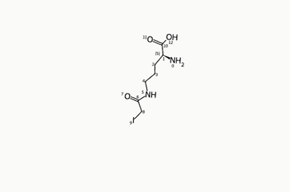 N[C@@H](CCCNC(=O)CI)C(=O)O